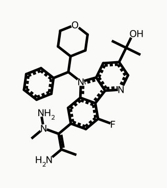 C/C(N)=C(\c1cc(F)c2c3ncc(C(C)(C)O)cc3n(C(c3ccccc3)C3CCOCC3)c2c1)N(C)N